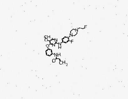 C=CC(=O)Nc1cccc(Oc2nc(Nc3ccc(N4CCN(CCF)CC4)c(F)c3)ncc2OC)c1